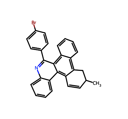 CC1C=Cc2c(c3ccccc3c3c(-c4ccc(Br)cc4)nc4ccccc4c23)C1